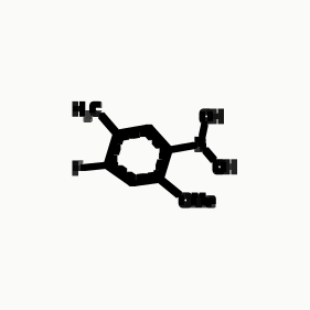 COc1cc(F)c(C)cc1B(O)O